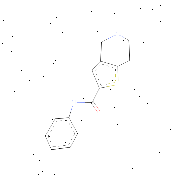 O=C(Nc1ccccc1)c1cc2c(s1)CCNC2